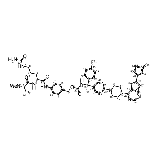 CN[C@H](C(=O)N[C@@H](CCCNC(N)=O)C(=O)Nc1ccc(COC(=O)N[C@@](C)(c2ccc(F)cc2)c2cnc(N3CCN(c4ncnn5cc(-c6cnn(C)c6)cc45)CC3)nc2)cc1)C(C)C